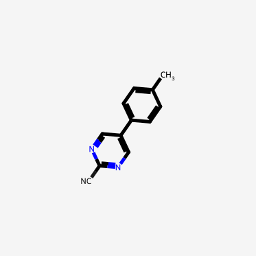 Cc1ccc(-c2cnc(C#N)nc2)cc1